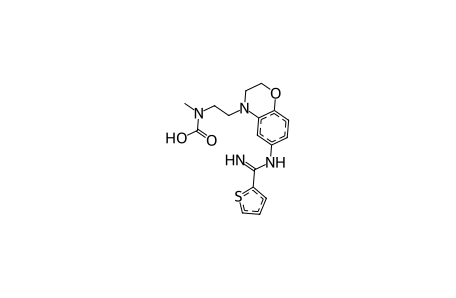 CN(CCN1CCOc2ccc(NC(=N)c3cccs3)cc21)C(=O)O